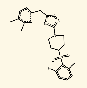 Cc1ccc(Cc2csc(N3CCC(S(=O)(=O)c4c(F)cccc4F)CC3)n2)cc1C